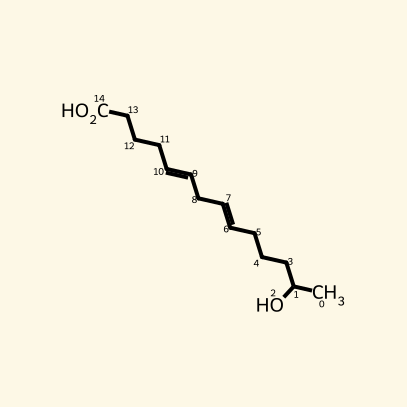 CC(O)CCCC=CCC=CCCCC(=O)O